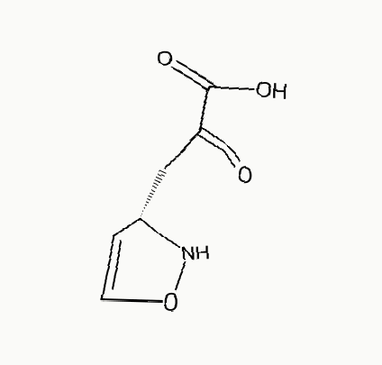 O=C(O)C(=O)C[C@H]1C=CON1